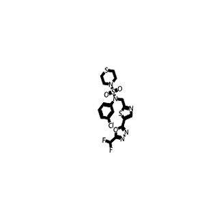 O=S(=O)(N1CCSCC1)N(Cc1ncc(-c2nnc(C(F)F)o2)s1)c1cccc(Cl)c1